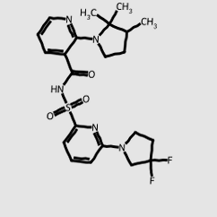 CC1CCN(c2ncccc2C(=O)NS(=O)(=O)c2cccc(N3CCC(F)(F)C3)n2)C1(C)C